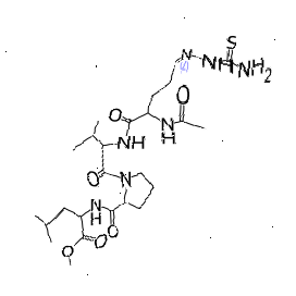 COC(=O)C(CC(C)C)NC(=O)C1CCCN1C(=O)C(NC(=O)C(CC/C=N\NC(N)=S)NC(C)=O)C(C)C